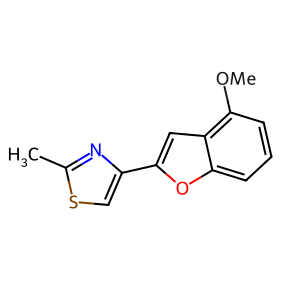 COc1cccc2oc(-c3csc(C)n3)cc12